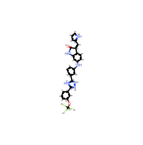 O=C1Nc2cc(Nc3cccc(-c4nnc(-c5cccc(OC(F)(F)F)c5)[nH]4)c3)ccc2C1=Cc1ccc[nH]1